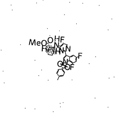 COC(=O)[C@H]1[C@@H]2CC[C@@H](C2)[C@@H]1Nc1nc(-c2cn(S(=O)(=O)c3ccc(C)cc3)c3c(F)cc(F)cc23)ncc1F